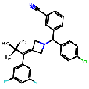 CC(C)(C)C(=C1CN(C(c2ccc(Cl)cc2)c2cccc(C#N)c2)C1)c1cc(F)cc(F)c1